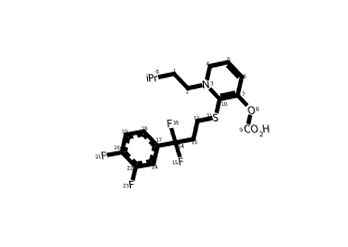 CC(C)CCN1CC=CC(OC(=O)O)=C1SCCC(F)(F)c1ccc(F)c(F)c1